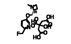 CN1CC[C@@H]1COc1ccc(CF)nc1.O=C(O)CC(O)(CC(=O)O)C(=O)O